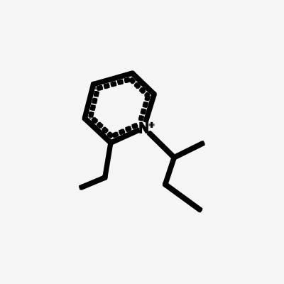 CCc1cccc[n+]1C(C)CC